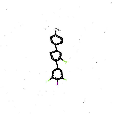 Cc1ccc(-c2ccc(-c3cc(F)c(I)c(F)c3)c(F)c2)cc1